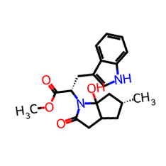 COC(=O)[C@H](Cc1c[nH]c2ccccc12)N1C(=O)CC2C[C@@H](C)CC21O